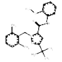 COc1ccccc1NC(=O)c1cc(C(C)(C)C)nn1Cc1c(C)cccc1C